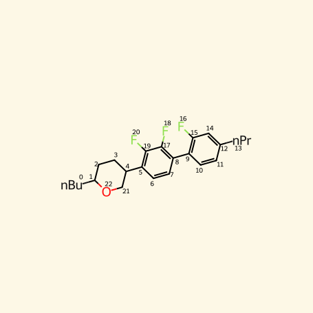 CCCCC1CCC(c2ccc(-c3ccc(CCC)cc3F)c(F)c2F)CO1